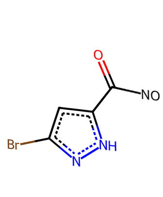 O=NC(=O)c1cc(Br)n[nH]1